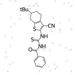 CC(C)(C)C1CCc2c(sc(NC(=S)NC(=O)c3ccccc3)c2C#N)C1